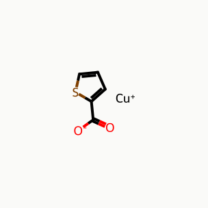 O=C([O-])c1cccs1.[Cu+]